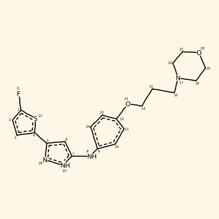 Fc1ccc(-c2cc(Nc3ccc(OCCCN4CCOCC4)cc3)[nH]n2)s1